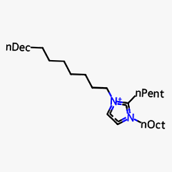 CCCCCCCCCCCCCCCCC[n+]1ccn(CCCCCCCC)c1CCCCC